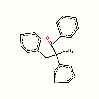 CC(Cc1ccccc1)(C(=O)c1ccccc1)c1ccccc1